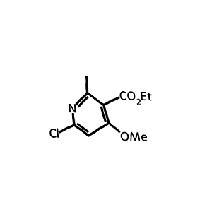 CCOC(=O)c1c(OC)cc(Cl)nc1C